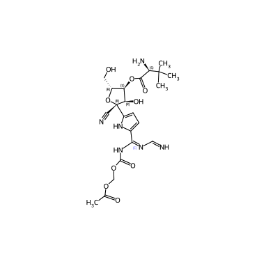 CC(=O)OCOC(=O)N/C(=N/C=N)c1ccc([C@]2(C#N)O[C@H](CO)[C@@H](OC(=O)[C@@H](N)C(C)(C)C)[C@H]2O)[nH]1